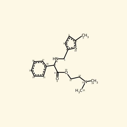 Cc1ccc(CNC(C(=O)OCCN(C)C)c2ccccc2)s1